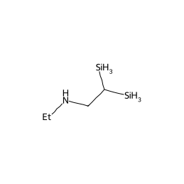 CCNCC([SiH3])[SiH3]